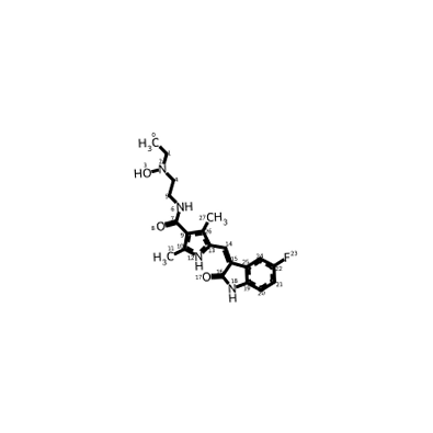 CCN(O)CCNC(=O)c1c(C)[nH]c(/C=C2\C(=O)Nc3ccc(F)cc32)c1C